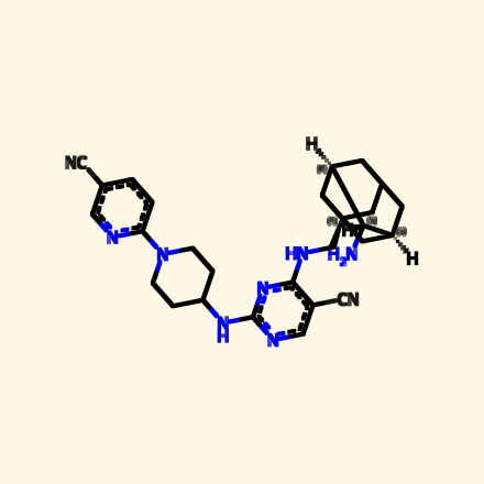 N#Cc1ccc(N2CCC(Nc3ncc(C#N)c(NC[C@]45CC6C[C@H](C4)[C@@H](N)[C@@H](C6)C5)n3)CC2)nc1